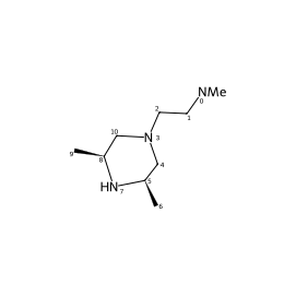 CNCCN1C[C@@H](C)N[C@@H](C)C1